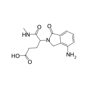 CNC(=O)C(CCC(=O)O)N1Cc2c(N)cccc2C1=O